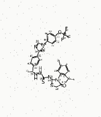 Cc1ccc(C(C)C)c(N2C(=O)CS/C2=N\C(=S)NNC(C)c2ccc(-c3ncn(-c4ccc(OC(F)(F)F)cc4)n3)cc2)c1